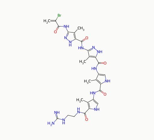 C=C(Br)C(=O)Nc1n[nH]c(C(=O)Nc2n[nH]c(C(=O)Nc3c[nH]c(C(=O)Nc4c[nH]c(C(=O)NCCNC(=N)N)c4C)c3C)c2C)c1C